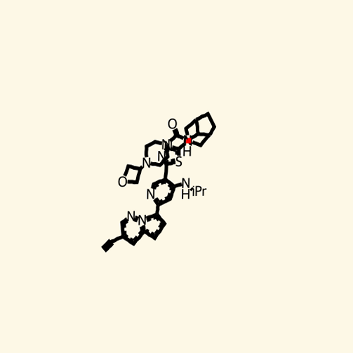 C#Cc1cnn2c(-c3cc(NC(C)C)c(-c4nnc(N5CC6CCC(C5)C6NC(=O)N5CCN(C6COC6)CC5)s4)cn3)ccc2c1